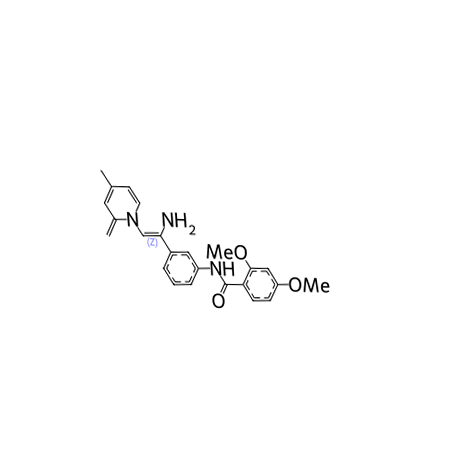 C=C1C=C(C)C=CN1/C=C(\N)c1cccc(NC(=O)c2ccc(OC)cc2OC)c1